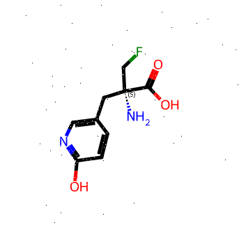 N[C@@](CF)(Cc1ccc(O)nc1)C(=O)O